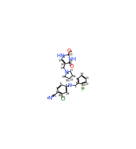 N#Cc1ccc(N(Cc2ccccc2F)[C@H]2CCN(Cc3c[nH]c(=O)[nH]c3=O)C2)cc1Cl